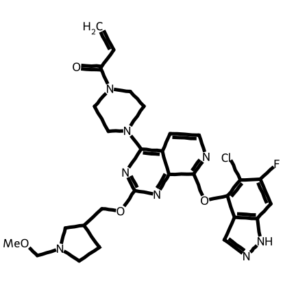 C=CC(=O)N1CCN(c2nc(OCC3CCN(COC)C3)nc3c(Oc4c(Cl)c(F)cc5[nH]ncc45)nccc23)CC1